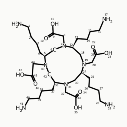 NCCCC[C@H]1CN(CC(=O)O)[C@@H](CCCCN)CN(CC(=O)O)[C@@H](CCCCN)CN(CC(=O)O)[C@@H](CCCCN)CN1CC(=O)O